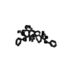 CC(C)c1cc2c(cc1C(=O)Oc1ccccc1)C1(C)CCCC(C)(C(=O)Oc3ccccc3)C1CC2